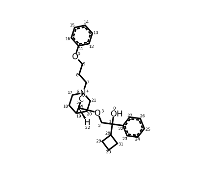 OC(CO[C@H]1C[N+]2(CCCOc3ccccc3)CCC1CC2)(c1ccccc1)C1CCC1